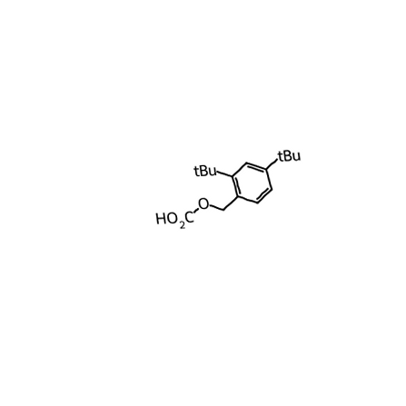 CC(C)(C)c1ccc(COC(=O)O)c(C(C)(C)C)c1